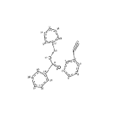 C#Cc1ccccc1.O=C(OCc1ccccc1)c1ccccc1